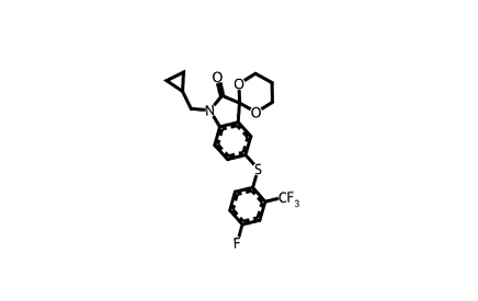 O=C1N(CC2CC2)c2ccc(Sc3ccc(F)cc3C(F)(F)F)cc2C12OCCCO2